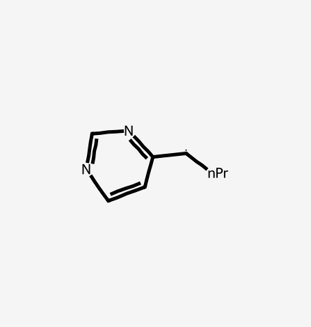 CCC[CH]c1ccncn1